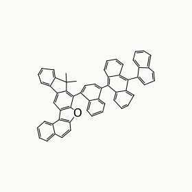 CC1(C)c2ccccc2-c2cc3c(oc4ccc5ccccc5c43)c(-c3ccc(-c4c5ccccc5c(-c5cccc6ccccc56)c5ccccc45)c4ccccc34)c21